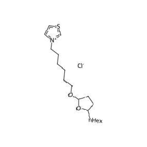 CCCCCCC1CCC(OCCCCCC[n+]2ccsc2)O1.[Cl-]